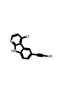 CCCC#Cc1ccc2[nH]c3nccc(Cl)c3c2c1